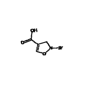 O=C(O)C1=CON(Br)C1